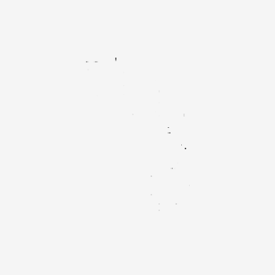 CN(c1ccc(F)cc1)S(=O)(=O)c1ccc2c(c1)C=CC(C)(C)O2